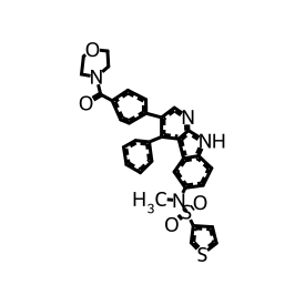 CN(c1ccc2[nH]c3ncc(-c4ccc(C(=O)N5CCOCC5)cc4)c(-c4ccccc4)c3c2c1)S(=O)(=O)c1ccsc1